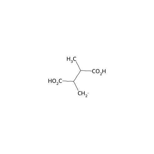 [CH2]C(C(=O)O)C(C)C(=O)O